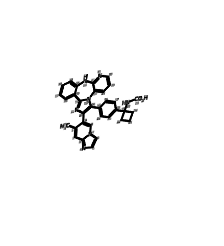 Cc1cc2nccn2cc1-c1nc2n(c1-c1ccc(C3(NC(=O)O)CCC3)cc1)-c1cccnc1Nc1ccccc1-2